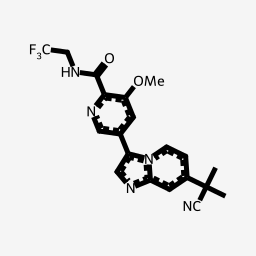 COc1cc(-c2cnc3cc(C(C)(C)C#N)ccn23)cnc1C(=O)NCC(F)(F)F